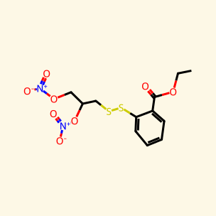 CCOC(=O)c1ccccc1SSCC(CO[N+](=O)[O-])O[N+](=O)[O-]